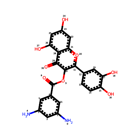 Nc1cc(N)cc(C(=O)Oc2c(-c3ccc(O)c(O)c3)oc3cc(O)cc(O)c3c2=O)c1